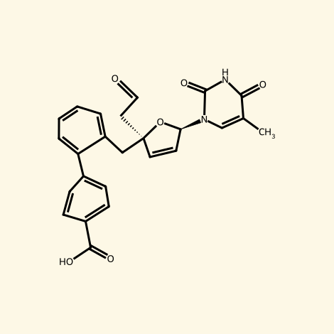 Cc1cn([C@H]2C=C[C@@](CC=O)(Cc3ccccc3-c3ccc(C(=O)O)cc3)O2)c(=O)[nH]c1=O